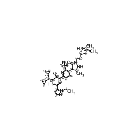 CCn1nccc1C(=O)N[C@H](C(=O)Nc1ccc(C2=C(C)N(COCC[Si](C)(C)C)NC2C)c(C(F)(F)F)n1)C(C1CC1)C1CC1